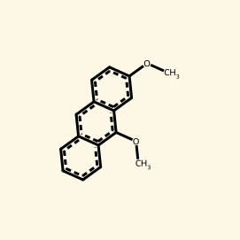 COc1ccc2cc3ccccc3c(OC)c2c1